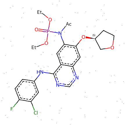 CCOP(=O)(OCC)N(C(C)=O)c1cc2c(Nc3ccc(F)c(Cl)c3)ncnc2cc1O[C@H]1CCOC1